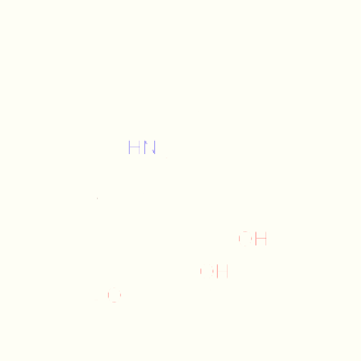 CCNC(C)(CO)C(=O)O